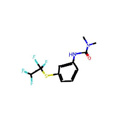 CN(C)C(=O)Nc1cccc(SC(F)(F)C(F)F)c1